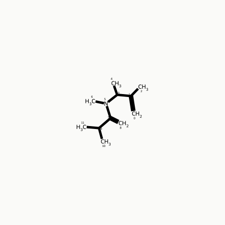 C=C(C)C(C)N(C)C(=C)C(C)C